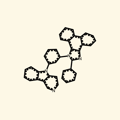 c1ccc(-c2nc3c4ccccc4c4ccccc4c3n2-c2cccc(-n3c4ccccc4c4cnccc43)c2)cc1